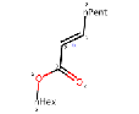 CCCCC/C=C/C(=O)OCCCCCC